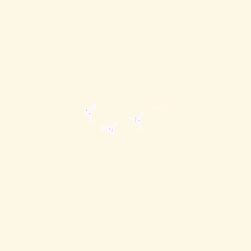 O=C1CCc2cnc(I)nc2N1C1CCCC1